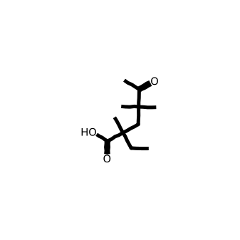 CCC(C)(CC(C)(C)C(C)=O)C(=O)O